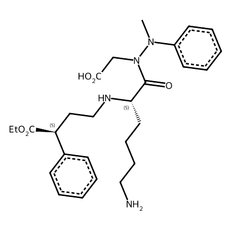 CCOC(=O)[C@@H](CCN[C@@H](CCCCN)C(=O)N(CC(=O)O)N(C)c1ccccc1)c1ccccc1